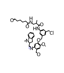 COc1cc(C=O)c(/N=C\C2Cc3ccccc3N2C)cc1OCc1cc(CCl)cc(NC(=O)C(C)CNC(=O)CCCCC=O)c1